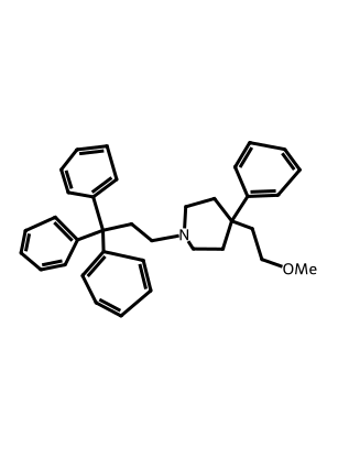 COCCC1(c2ccccc2)CCN(CCC(c2ccccc2)(c2ccccc2)c2ccccc2)CC1